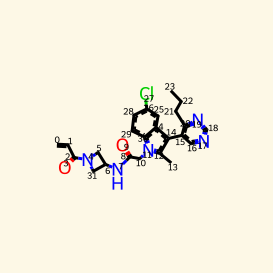 C=CC(=O)N1CC(NC(=O)Cn2c(C)c(-c3cncnc3CCC)c3cc(Cl)ccc32)C1